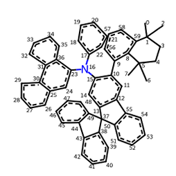 CC1(C)CCC(C)(C)c2c(-c3cc4c(cc3N(c3ccccc3)c3cc5ccccc5c5ccccc35)C3(c5ccccc5-c5ccccc53)c3ccccc3-4)cccc21